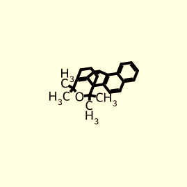 CC1(C)OC(C)(C)C23CCCC1=C2C=Cc1c3ccc2ccccc12